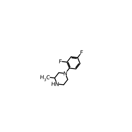 CC1CN(c2ccc(F)cc2F)CCN1